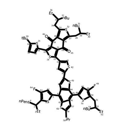 CCCCCC(CC)c1sc(-c2c3cc(-c4cc(-c5sc(-c6ccc(C(C)(C)C)s6)c6c5C(=O)c5c(CC(CC)CCCC)sc(CC(CC)CCCC)c5C6=O)cs4)sc3c(-c3cc(F)c(CC(CC)CCCC)s3)c3cc(C(C)C)sc23)cc1F